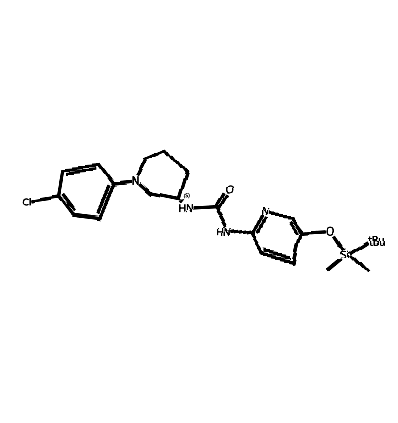 CC(C)(C)[Si](C)(C)Oc1ccc(NC(=O)N[C@H]2CCCN(c3ccc(Cl)cc3)C2)nc1